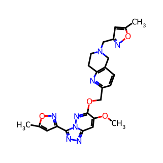 COc1cc2nnc(-c3cc(C)on3)n2nc1OCc1ccc2c(n1)CCN(Cc1cc(C)on1)C2